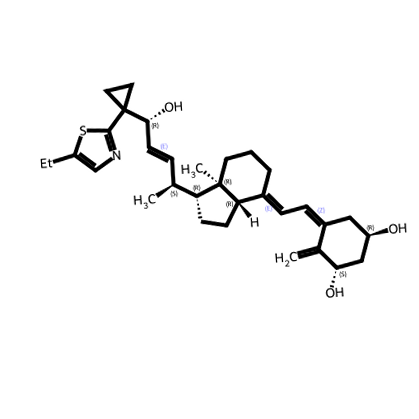 C=C1/C(=C\C=C2/CCC[C@]3(C)[C@@H]([C@@H](C)/C=C/[C@@H](O)C4(c5ncc(CC)s5)CC4)CC[C@@H]23)C[C@@H](O)C[C@@H]1O